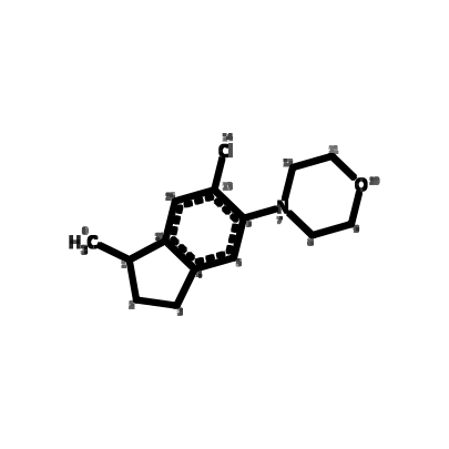 CC1CCc2cc(N3CCOCC3)c(Cl)cc21